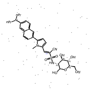 CCCN(CCC)c1ccc2cc(-c3ccc(/C=C(\C#N)S(=O)(=O)N[C@H]4C(O)O[C@H](CO)[C@@H](O)[C@@H]4O)n3C)ccc2c1